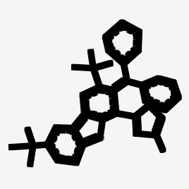 CC1=CCC(c2c3c(cc(C(C)(C)C)c2=C(c2ccccc2)c2ccccc2)=c2cc(C(C)(C)C)ccc2=[C]3)=C1